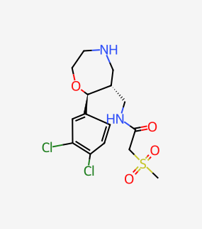 CS(=O)(=O)CC(=O)NC[C@H]1CNCCO[C@@H]1c1ccc(Cl)c(Cl)c1